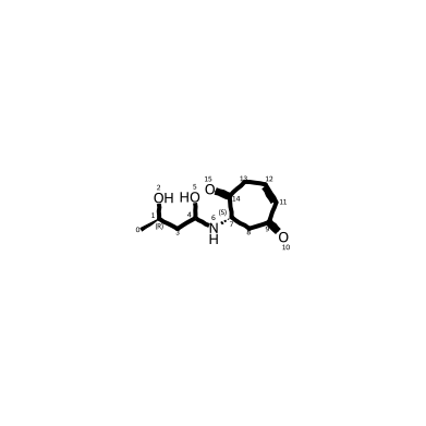 C[C@@H](O)CC(O)N[C@H]1CC(=O)C=CCC1=O